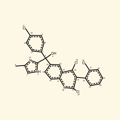 Cc1c[nH]c(C(O)(c2ccc(Cl)cc2)c2ccc3nc(Cl)c(-c4ccccc4Cl)c(Cl)c3c2)n1